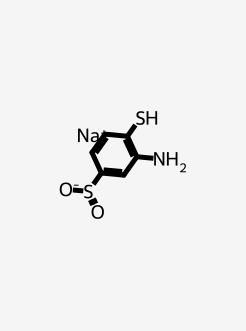 Nc1cc(S(=O)[O-])ccc1S.[Na+]